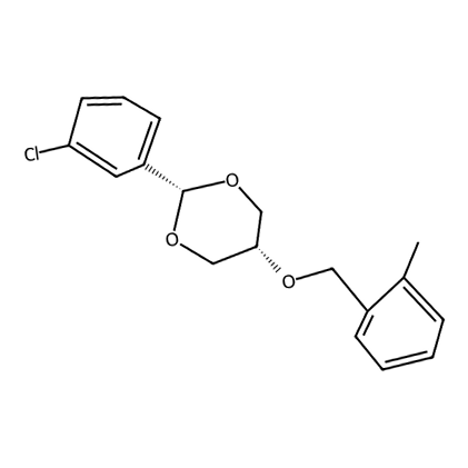 Cc1ccccc1CO[C@H]1CO[C@@H](c2cccc(Cl)c2)OC1